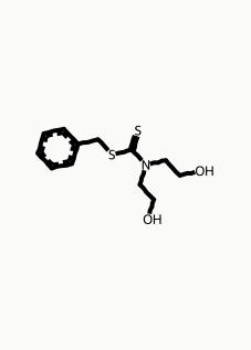 OCCN(CCO)C(=S)SCc1ccccc1